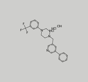 Cl.Cl.Cl.FC(F)(F)c1cccc(N2CCN(Cc3cncc(-c4ccccc4)c3)CC2)c1